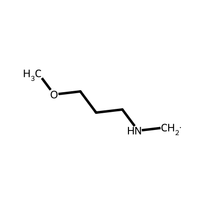 [CH2]NCCCOC